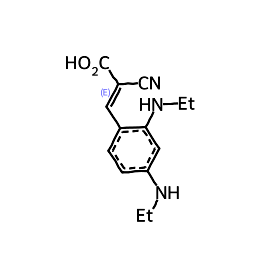 CCNc1ccc(/C=C(\C#N)C(=O)O)c(NCC)c1